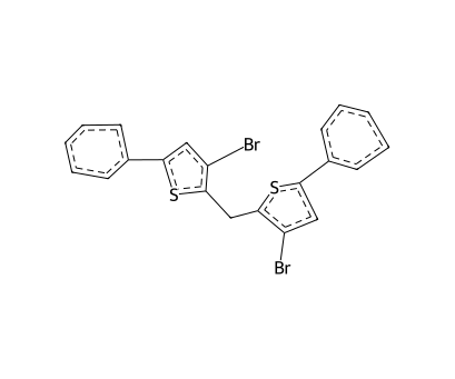 Brc1cc(-c2ccccc2)sc1Cc1sc(-c2ccccc2)cc1Br